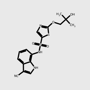 CC(C)(O)COc1ncc(S(=O)(=O)Nc2cccc3c(C#N)c[nH]c23)s1